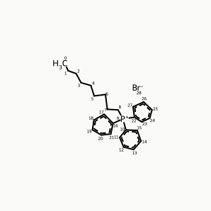 CCCCCCCCC[P+](c1ccccc1)(c1ccccc1)c1ccccc1.[Br-]